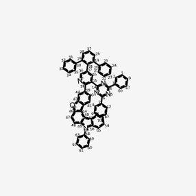 c1ccc(-c2nc(-c3ccccc3)nc(-c3cc(-c4c(-c5ccccc5)cccc4-c4ccccc4)cnc3-c3ccc4c(c3)oc3ccc5c(c6ccccc6n5-c5ccccc5)c34)n2)cc1